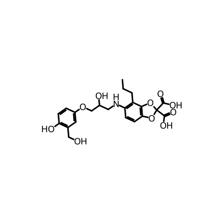 CCCc1c(NCC(O)COc2ccc(O)c(CO)c2)ccc2c1OC(C(=O)O)(C(=O)O)O2